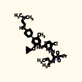 C=CN(C)/N=C(\CNc1nc(Nc2cc(C)c([C@H]3CC[C@H](NCCN(C)C)CC3)cc2OC2CC2)ncc1Cl)S(=O)(=O)C(C)C